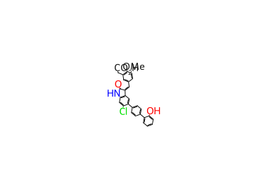 COc1ccc(/C=C2\C(=O)Nc3cc(Cl)c(-c4ccc(-c5ccccc5O)cc4)cc32)cc1CC(=O)O